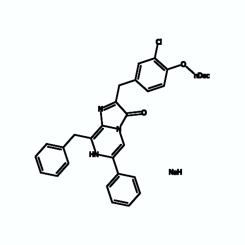 CCCCCCCCCCOc1ccc(Cc2nc3c(Cc4ccccc4)[nH]c(-c4ccccc4)cn-3c2=O)cc1Cl.[NaH]